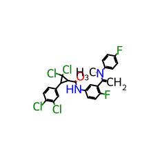 C=C(c1cc(NC(=O)C2C(c3ccc(Cl)c(Cl)c3)C2(Cl)Cl)ccc1F)N(C)c1ccc(F)cc1